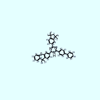 CC1(C)CC(C)(C)c2cc(C3=NC(c4ccc5c(c4)Sc4ccccc4C5(C)C)NC(c4ccc(-c5ccccc5)cc4)=N3)ccc21